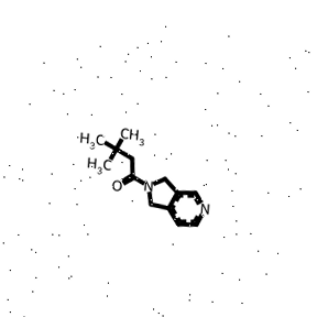 CC(C)(C)CC(=O)N1Cc2ccncc2C1